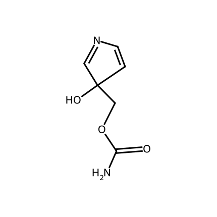 NC(=O)OCC1(O)C=CN=C1